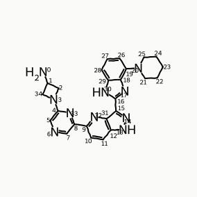 NC1CN(c2cncc(-c3ccc4[nH]nc(-c5nc6c(N7CCCCC7)cccc6[nH]5)c4n3)n2)C1